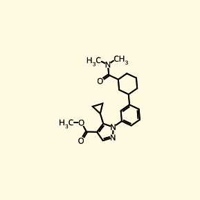 COC(=O)c1cnn(-c2cccc(C3CCCC(C(=O)N(C)C)C3)c2)c1C1CC1